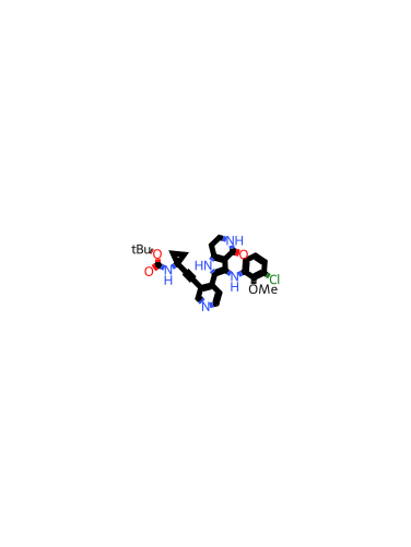 COc1c(Cl)cccc1Nc1c(-c2ccncc2C#CC2(NC(=O)OC(C)(C)C)CC2)[nH]c2c1C(=O)NCC2